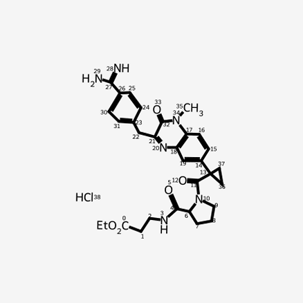 CCOC(=O)CCNC(=O)C1CCCN1C(=O)C1(c2ccc3c(c2)nc(Cc2ccc(C(=N)N)cc2)c(=O)n3C)CC1.Cl